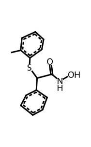 Cc1ccccc1SC(C(=O)NO)c1ccccc1